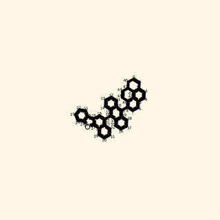 C1=Cc2ccc3ccc(-c4c5ccccc5c(-c5cc6c7ccccc7oc6c6ccccc56)c5ccccc45)c4c3c2C(C=C4)C1